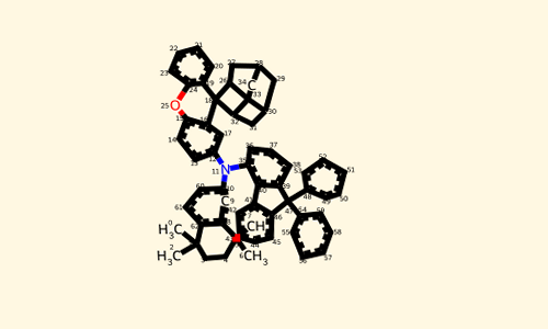 CC1(C)CCC(C)(C)c2cc(N(c3ccc4c(c3)C3(c5ccccc5O4)C4CC5CC6CC3C64C5)c3cccc4c3-c3ccccc3C4(c3ccccc3)c3ccccc3)ccc21